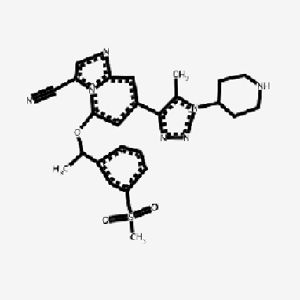 Cc1c(-c2cc(OC(C)c3cccc(S(C)(=O)=O)c3)n3c(C#N)cnc3c2)nnn1C1CCNCC1